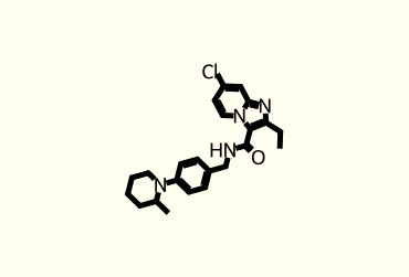 CCc1nc2cc(Cl)ccn2c1C(=O)NCc1ccc(N2CCCCC2C)cc1